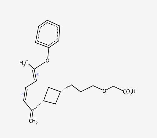 C=C(/C=C\C=C(/C)Oc1ccccc1)[C@H]1C[C@@H](CCCOCC(=O)O)C1